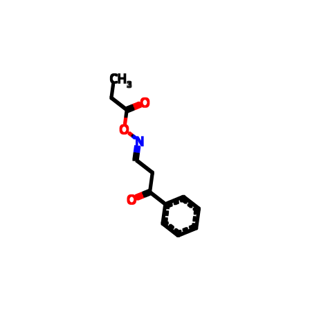 CCC(=O)ON=CCC(=O)c1ccccc1